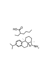 CC(C)c1ccc2c(c1)CC[C@H]1[C@](C)(CN)CCC[C@]21C.CCCCC(CC)C(=O)O